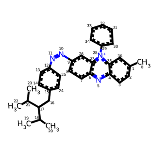 Cc1ccc2nc3ccc(/N=N\c4ccc(CC(C(C)C)C(C)C)cc4)cc3[n+](-c3ccccc3)c2c1